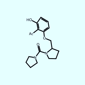 CC(=O)c1c(O)cccc1OCC1CCCN1C(=O)N1CCCC1